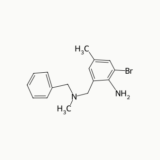 Cc1cc(Br)c(N)c(CN(C)Cc2ccccc2)c1